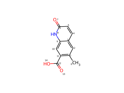 Cc1cc2ccc(=O)[nH]c2cc1C(=O)O